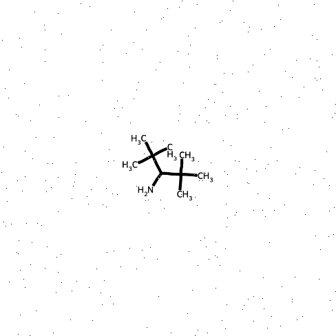 CC(C)(C)C(N)C(C)(C)C